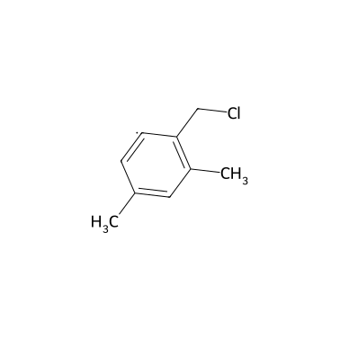 Cc1c[c]c(CCl)c(C)c1